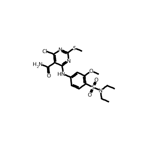 CCN(CC)S(=O)(=O)c1ccc(Nc2nc(SC)nc(Cl)c2C(N)=O)cc1OC